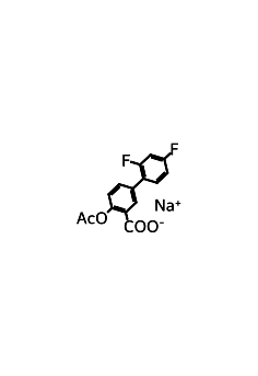 CC(=O)Oc1ccc(-c2ccc(F)cc2F)cc1C(=O)[O-].[Na+]